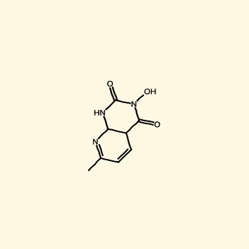 CC1=NC2NC(=O)N(O)C(=O)C2C=C1